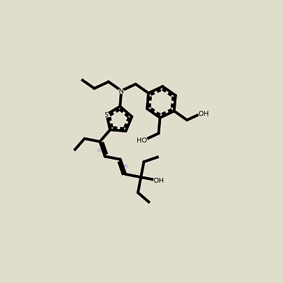 CCCN(Cc1ccc(CO)c(CO)c1)c1ccc(/C(=C\C=C\C(O)(CC)CC)CC)s1